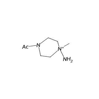 CC(=O)N1CC[N+](C)(N)CC1